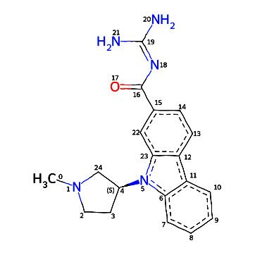 CN1CC[C@H](n2c3ccccc3c3ccc(C(=O)N=C(N)N)cc32)C1